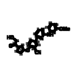 COc1cc(Nc2nccc(-c3ccc(OC4CCN(C(=O)CO)C4)c(C#N)c3)n2)ccn1